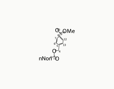 CCCCCCCCCC(=O)OCc1ccc(C(=O)OC)cc1